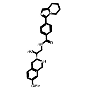 COc1ccc2c(c1)CN[C@H](C(O)CNC(=O)c1ccc(-c3ncc4n3CCCC4)cc1)C2